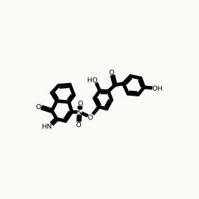 N=C1C=C(S(=O)(=O)Oc2ccc(C(=O)c3ccc(O)cc3)c(O)c2)c2ccccc2C1=O